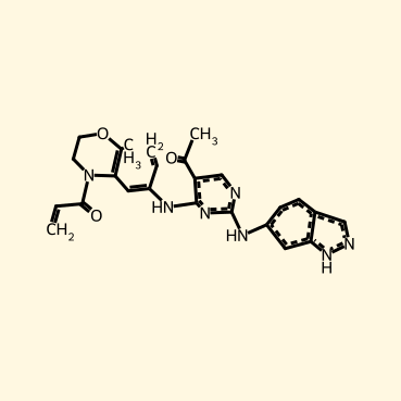 C=CC(=O)N1CCOC(C)=C1/C=C(\C=C)Nc1nc(Nc2ccc3cn[nH]c3c2)ncc1C(C)=O